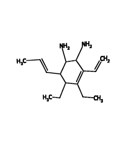 C=CC1=C(CC)C(CC)C(/C=C/C)C(N)C1N